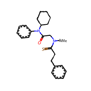 CNN(CC(=O)N(c1ccccc1)C1CCCCC1)C(=S)CCc1ccccc1